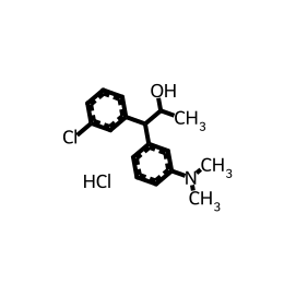 CC(O)C(c1cccc(Cl)c1)c1cccc(N(C)C)c1.Cl